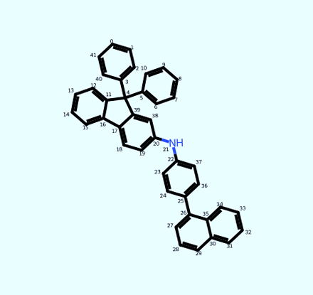 c1ccc(C2(c3ccccc3)c3ccccc3-c3ccc(Nc4ccc(-c5cccc6ccccc56)cc4)cc32)cc1